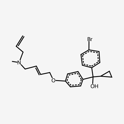 C=CCN(C)CC=CCOc1ccc(C(O)(c2ccc(Br)cc2)C2CC2)cc1